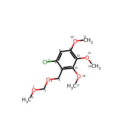 COCOCc1c(Cl)cc(OC)c(OC)c1OC